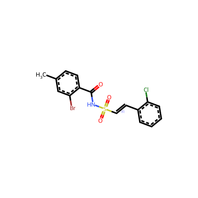 Cc1ccc(C(=O)NS(=O)(=O)/C=C/c2ccccc2Cl)c(Br)c1